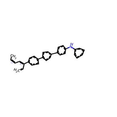 C=C/C(=C\C=C/C)c1ccc(-c2ccc(-c3ccc(Nc4ccccc4)cc3)cc2)cc1